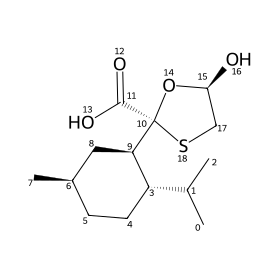 CC(C)[C@@H]1CC[C@@H](C)C[C@H]1[C@@]1(C(=O)O)O[C@@H](O)CS1